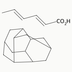 C/C=C/C=C/C(=O)O.C1C2CC3C4CC5CC(C14)C(C2)C3C5